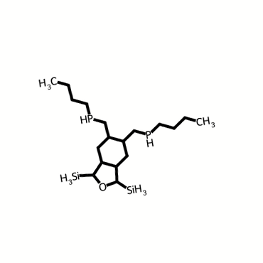 CCCCPCC1CC2C([SiH3])OC([SiH3])C2CC1CPCCCC